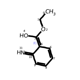 CCO/C(O)=C1\C=CC=CC1=N